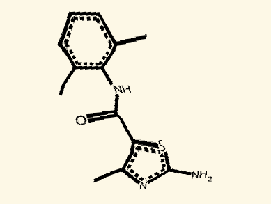 Cc1cccc(C)c1NC(=O)c1sc(N)nc1C